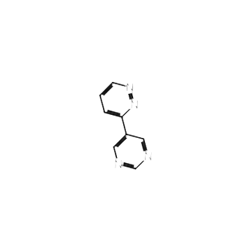 c1cnnc(-c2cncnc2)c1